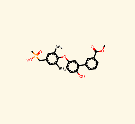 Bc1cc(CP(C)(=O)O)cc(B)c1Oc1ccc(O)c(-c2cccc(C(=O)OC)c2)c1